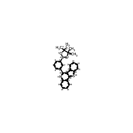 CC1(C)OB(c2cccc(-c3nc4ccccc4c4sc5ccccc5c34)c2)OC1(C)C